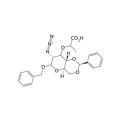 CC(OC1[C@@H](N=[N+]=[N-])C(OCc2ccccc2)O[C@@H]2CO[C@H](c3ccccc3)O[C@@H]12)C(=O)O